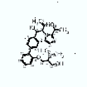 C=CC(C(O)c1ccc(-c2ccccc2OCC(CO)N(C)C)cc1)n1ccnc1C(C)O